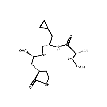 CC(C)(C)[C@H](NC(=O)O)C(=O)N[C@H](CN[C@H](C=O)C[C@@H]1CCNC1=O)CC1CC1